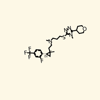 CN(CCCSc1nnc(C2CCOCC2)n1C)CC[C@]1(C)C[C@@H]1c1ccc(C(F)(F)F)cc1F